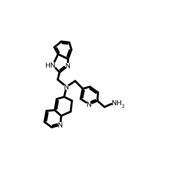 NCc1ccc(CN(Cc2nc3ccccc3[nH]2)C2C=C3C=CC=NC3CC2)cn1